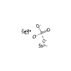 O=P([O-])([O-])[O-].[Cl-].[Sn+2].[Sn+2]